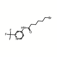 O=C(CCCCCBr)Nc1ccnc(C(F)(F)F)c1